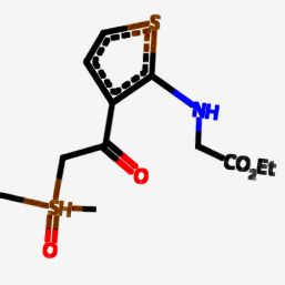 CCOC(=O)CNc1sccc1C(=O)C[SH](C)(C)=O